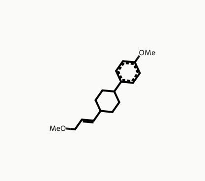 COC/C=C/C1CCC(c2ccc(OC)cc2)CC1